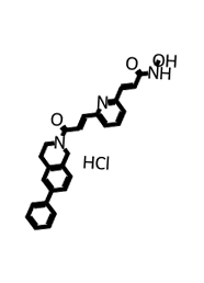 Cl.O=C(C=Cc1cccc(C=CC(=O)N2CCc3cc(-c4ccccc4)ccc3C2)n1)NO